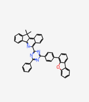 CC1(C)c2ccccc2-c2nc(-c3nc(-c4ccccc4)nc(-c4ccc(-c5cccc6c5oc5ccccc56)cc4)n3)c3ccccc3c21